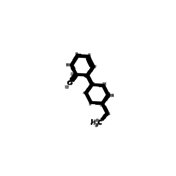 CCC1CCC(C2C=CCCC2=O)CC1